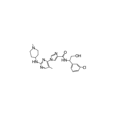 Cc1cnc(NC2CCN(C)CC2)nc1-n1cnc(C(=O)NC(CO)c2cccc(Cl)c2)c1